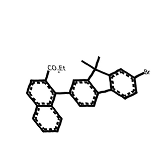 CCOC(=O)c1ccc2ccccc2c1-c1ccc2c(c1)C(C)(C)c1cc(Br)ccc1-2